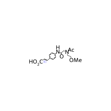 COCCN(CC(=O)Nc1ccc(/C=C/C(=O)O)cc1)C(C)=O